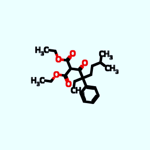 CCOC(=O)C(C(=O)OCC)C(=O)C(CC)(CCC(C)C)c1ccccc1